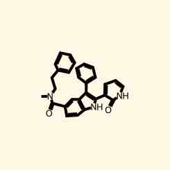 CN(CCc1ccccc1)C(=O)c1ccc2[nH]c(-c3ccc[nH]c3=O)c(-c3ccccc3)c2c1